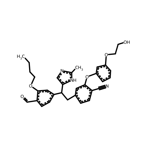 CCCCOc1cc(C(Cc2ccc(C#N)c(Oc3cccc(OCCO)c3)c2)c2cnc(C)[nH]2)ccc1C=O